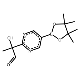 CC(O)(C=O)c1ncc(B2OC(C)(C)C(C)(C)O2)cn1